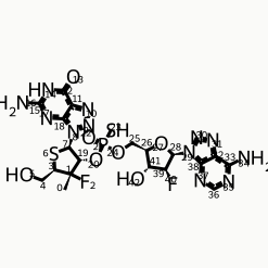 C[C@@]1(F)[C@@H](CO)S[C@@H](n2nnc3c(=O)[nH]c(N)nc32)[C@@H]1OP(=O)(S)OC[C@H]1O[C@@H](n2nnc3c(N)ncnc32)[C@@H](F)[C@@H]1O